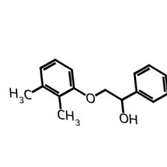 Cc1cccc(OCC(O)c2ccccc2)c1C